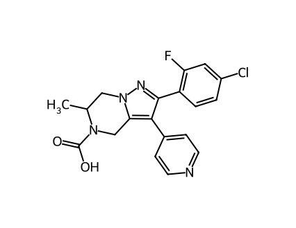 CC1Cn2nc(-c3ccc(Cl)cc3F)c(-c3ccncc3)c2CN1C(=O)O